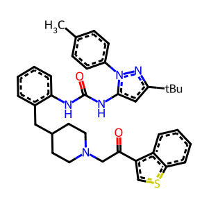 Cc1ccc(-n2nc(C(C)(C)C)cc2NC(=O)Nc2ccccc2CC2CCN(CC(=O)c3csc4ccccc34)CC2)cc1